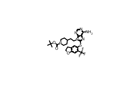 CC(C)(C)OC(=O)N1CCC(CCn2c(Sc3cc4c(cc3C(F)(F)F)OCC4)nc3c(N)ncnc32)CC1